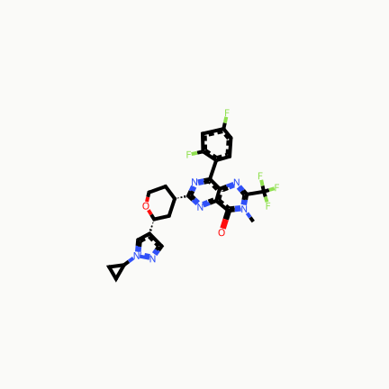 Cn1c(C(F)(F)F)nc2c(-c3ccc(F)cc3F)nc([C@H]3CCO[C@@H](c4cnn(C5CC5)c4)C3)nc2c1=O